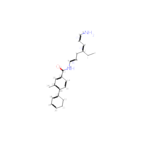 CC/C(=C/C=C\N)C/C=C/NC(=O)c1ccc(C2=CC=CCC2)c(C)c1